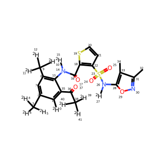 [2H]c1c(C([2H])([2H])[2H])cc(C([2H])([2H])[2H])c(N([2H])C(=O)c2sccc2S(=O)(=O)N([2H])c2onc(C)c2C)c1C(=O)C([2H])([2H])[2H]